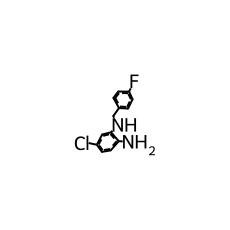 Nc1ccc(Cl)cc1NCc1ccc(F)cc1